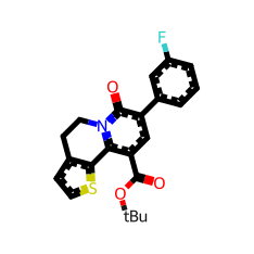 CC(C)(C)OC(=O)c1cc(-c2cccc(F)c2)c(=O)n2c1-c1sccc1CC2